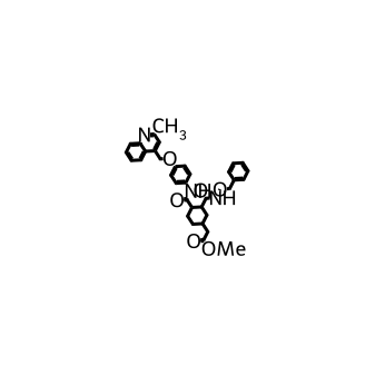 COC(=O)CC1CCC(C(=O)Nc2ccc(OCc3cc(C)nc4ccccc34)cc2)C(C(=O)NOCc2ccccc2)C1